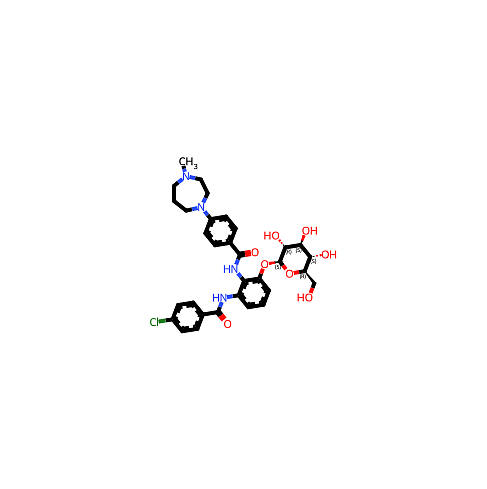 CN1CCCN(c2ccc(C(=O)Nc3c(NC(=O)c4ccc(Cl)cc4)cccc3O[C@@H]3O[C@H](CO)[C@@H](O)[C@H](O)[C@H]3O)cc2)CC1